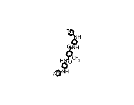 C[n+]1ccc(Nc2ccc(NC(=O)c3ccc(C(=O)Nc4ccc(Nc5cc[n+](C)cc5)cc4)c(C(F)(F)F)c3)cc2)cc1